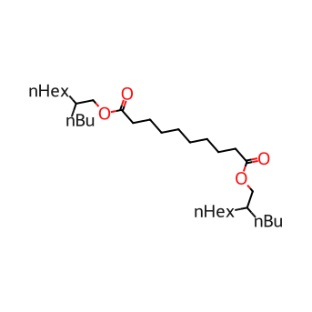 CCCCCCC(CCCC)COC(=O)CCCCCCCCC(=O)OCC(CCCC)CCCCCC